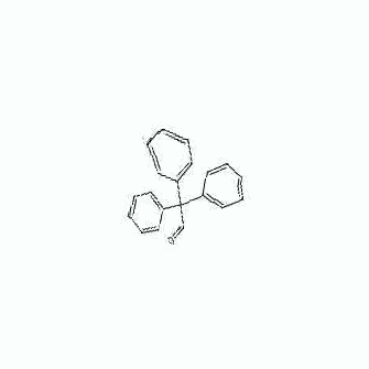 O=CC(c1ccccc1)(c1ccccc1)c1ccccc1